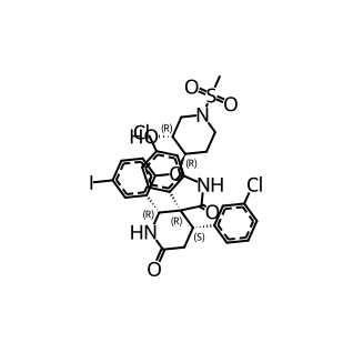 CS(=O)(=O)N1CC[C@@H](Oc2ccc(I)cc2[C@H]2NC(=O)C[C@@H](c3cccc(Cl)c3)[C@]23C(=O)Nc2cc(Cl)ccc23)[C@H](O)C1